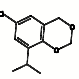 CC(C)c1cc(Cl)cc2c1OCOC2